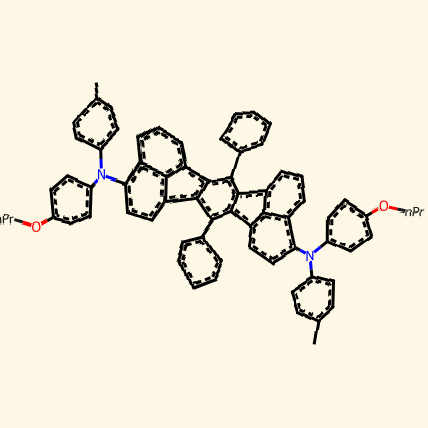 CCCOc1ccc(N(c2ccc(C)cc2)c2ccc3c4c(-c5ccccc5)c5c6ccc(N(c7ccc(C)cc7)c7ccc(OCCC)cc7)c7cccc(c5c(-c5ccccc5)c4c4cccc2c43)c76)cc1